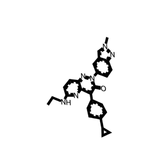 CCNc1ccc2nn(-c3ccc4nn(C)cc4c3)c(=O)c(-c3ccc(C4CC4)cc3)c2n1